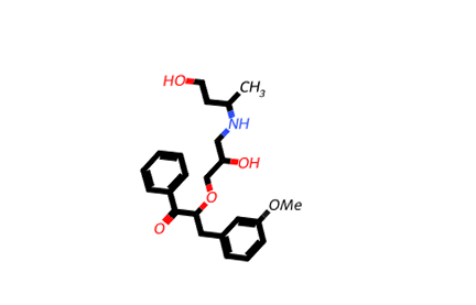 COc1cccc(CC(OCC(O)CNC(C)CCO)C(=O)c2ccccc2)c1